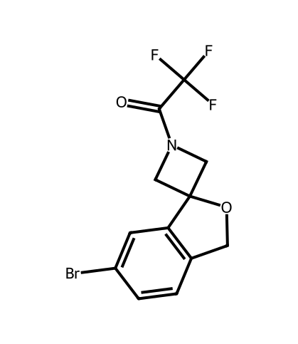 O=C(N1CC2(C1)OCc1ccc(Br)cc12)C(F)(F)F